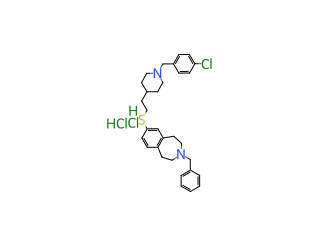 Cl.Cl.Clc1ccc(CN2CCC(CCSc3ccc4c(c3)CCN(Cc3ccccc3)CC4)CC2)cc1